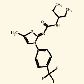 CCC(CC)NC(=O)N=c1sc(C)cn1-c1ccc(C(F)(F)F)cc1